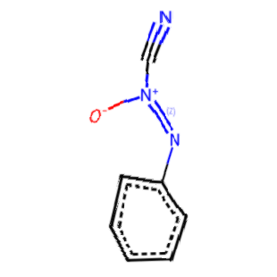 N#C/[N+]([O-])=N/c1ccccc1